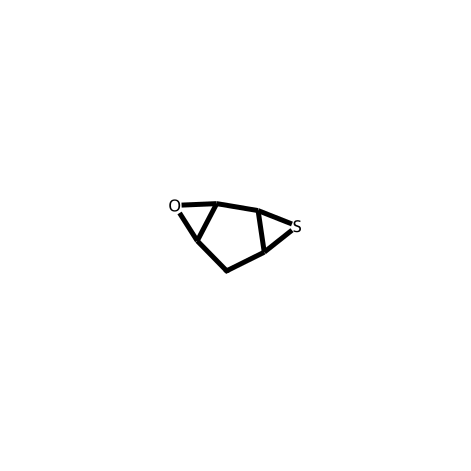 C1C2OC2C2SC12